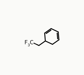 FC(F)(F)CC1C=CC=CC1